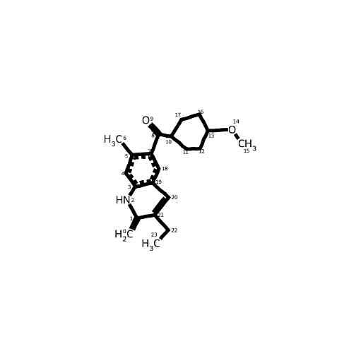 C=C1Nc2cc(C)c(C(=O)C3CCC(OC)CC3)cc2C=C1CC